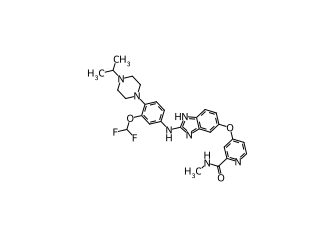 CNC(=O)c1cc(Oc2ccc3[nH]c(Nc4ccc(N5CCN(C(C)C)CC5)c(OC(F)F)c4)nc3c2)ccn1